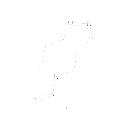 O=C(I)N1CCc2oncc2C1